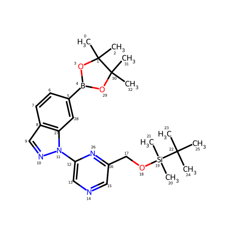 CC1(C)OB(c2ccc3cnn(-c4cncc(CO[Si](C)(C)C(C)(C)C)n4)c3c2)OC1(C)C